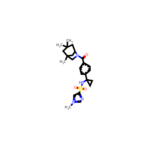 Cn1cnc(S(=O)(=O)NC2(c3ccc(C(=O)N4CC5(C)CC4CC(C)(C)C5)cc3)CC2)c1